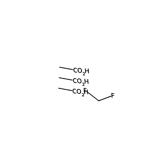 CC(=O)O.CC(=O)O.CC(=O)O.FCF